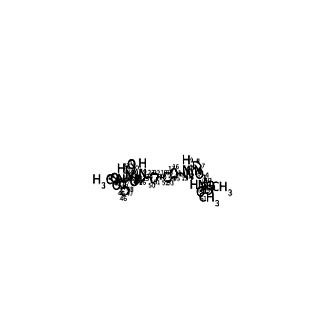 COC[C@@H](CON1CCC[C@H]1c1ncc(-c2ccc3cc(-c4ccc(-c5cnc([C@@H]6COCCN6C(=O)[C@@H](NC(=O)OC)c6ccccc6)[nH]5)cc4)ccc3c2)[nH]1)NC(=O)OC